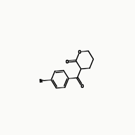 O=C1OCCCC1C(=O)c1ccc(Br)cc1